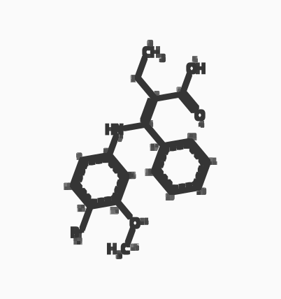 CC/C(C(=O)O)=C(\Nc1ccc(Br)c(OC)c1)c1ccccc1